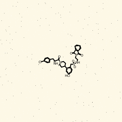 Cl.N[C@H](Cc1ccc(Cl)cc1)C(=O)N1CCC(c2ccccc2CS(=O)(=O)NCCN2C(=O)c3ccccc3C2=O)CC1